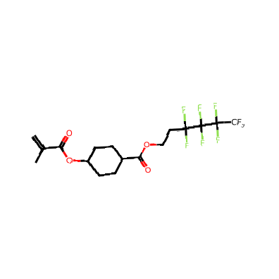 C=C(C)C(=O)OC1CCC(C(=O)OCCC(F)(F)C(F)(F)C(F)(F)C(F)(F)F)CC1